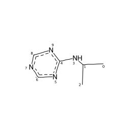 CC(C)Nc1n[c]ncn1